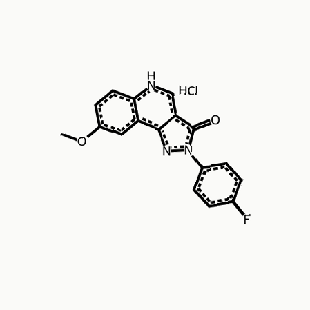 COc1ccc2[nH]cc3c(=O)n(-c4ccc(F)cc4)nc-3c2c1.Cl